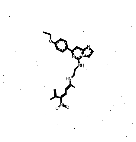 C=C(C)/C(=C\C=C(/C)NCCNc1nc(-c2ccc(OCC)cc2)cc2nccn12)[N+](=O)[O-]